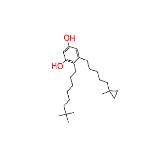 CC(C)(C)CCCCCCc1c(O)cc(O)cc1CCCCCC1(C)CC1